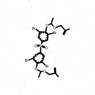 C=C(C)COC(C)Oc1c(Br)cc(S(=O)(=O)c2cc(Br)c(OC(C)OCC(=C)C)c(Br)c2)cc1Br